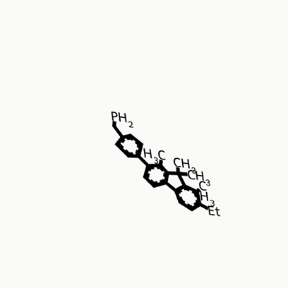 CCc1ccc2c(c1C)C(C)(C)c1c-2ccc(-c2ccc(CP)cc2)c1C